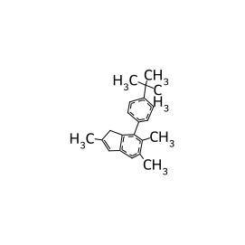 CC1=Cc2cc(C)c(C)c(-c3ccc(C(C)(C)C)cc3)c2C1